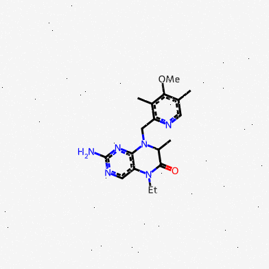 CCN1C(=O)C(C)N(Cc2ncc(C)c(OC)c2C)c2nc(N)ncc21